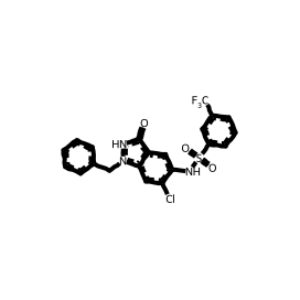 O=c1[nH]n(Cc2ccccc2)c2cc(Cl)c(NS(=O)(=O)c3cccc(C(F)(F)F)c3)cc12